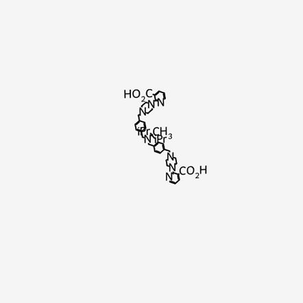 CC(C)C(C)(C(C)C)N(Cc1ccc(CN2CCN(c3ncccc3C(=O)O)CC2)cc1)Cc1ccc(CN2CCN(c3ncccc3C(=O)O)CC2)cc1